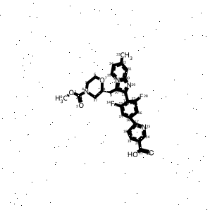 COC(=O)N1CCO[C@@H](Cc2c(-c3c(F)cc(-c4ccc(C(=O)O)cn4)cc3F)nc3cc(C)ccn23)C1